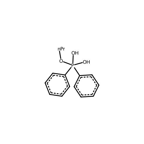 CCCOP(O)(O)(c1ccccc1)c1ccccc1